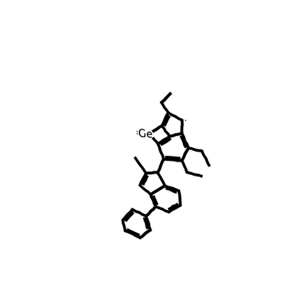 CCC1=[C]2[Ge][c]3c2c(c(CC)c(CC)c3C2C(C)=Cc3c(-c4ccccc4)cccc32)[CH]1